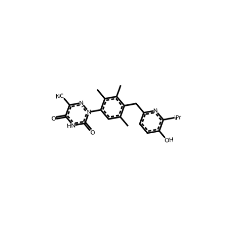 Cc1cc(-n2nc(C#N)c(=O)[nH]c2=O)c(C)c(C)c1Cc1ccc(O)c(C(C)C)n1